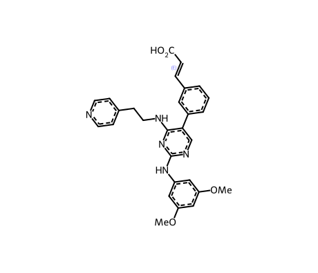 COc1cc(Nc2ncc(-c3cccc(/C=C/C(=O)O)c3)c(NCCc3ccncc3)n2)cc(OC)c1